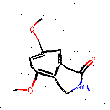 COc1cc(OC)c2c(c1)C(=O)NC2